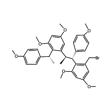 COc1ccc([C@@H](C)c2c(OC)cc(OC)cc2[C@H](C)[C@H](c2ccc(OC)cc2)c2c(CBr)cc(OC)cc2OC)cc1